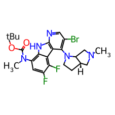 CN1CC2[C@@H](CCN2c2c(Br)cnc3[nH]c4c(N(C)C(=O)OC(C)(C)C)cc(F)c(F)c4c23)C1